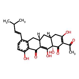 CC(=O)C1=C(O)C[C@H]2C[C@H]3Cc4c(/C=C/C(C)C)ccc(O)c4C(=O)C3=C(O)[C@]2(O)C1=O